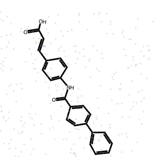 O=C(O)/C=C/c1ccc(NC(=O)c2ccc(-c3ccccc3)cc2)cc1